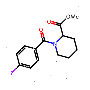 COC(=O)C1CCCCN1C(=O)c1ccc(I)cc1